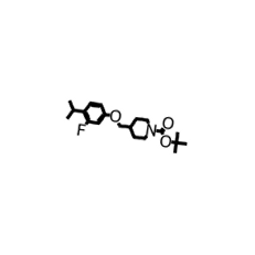 CC(C)c1ccc(OCC2CCN(C(=O)OC(C)(C)C)CC2)cc1F